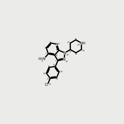 Nc1ccnc2c1c(-c1ccc(Cl)cc1)nn2C1CCNCC1